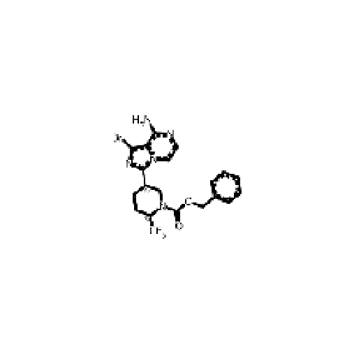 Nc1nccn2c([C@@H]3CC[C@H](C(F)(F)F)N(C(=O)OCc4ccccc4)C3)nc(Br)c12